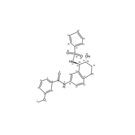 COc1cccc(C(=O)Nc2ccc3c(c2)[C@@H](NS(=O)(=O)c2ccccc2)[C@H](O)CC3)c1